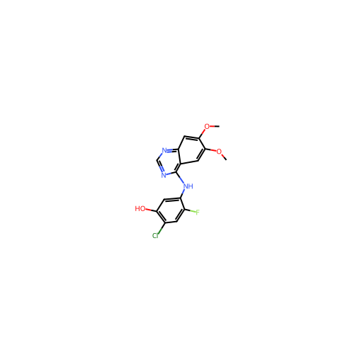 COc1cc2ncnc(Nc3cc(O)c(Cl)cc3F)c2cc1OC